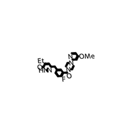 CCc1cc(Cc2ccc(F)c(C(=O)N3CCN(c4cc(OC)ccn4)CC3)c2)n[nH]c1=O